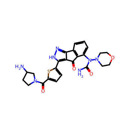 NC(=O)N(c1cccc2c1C(=O)c1c-2n[nH]c1-c1ccc(C(=O)N2CCC(N)C2)s1)N1CCOCC1